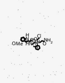 COc1cccc2[nH]c(C(=O)N[C@@H](CC3CCCCC3)C(=O)NN(CCC(N)=O)C(=O)CCl)cc12